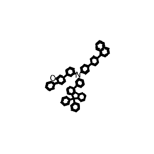 c1ccc(C2(c3ccccc3)c3ccccc3-c3c(-c4cccc(N(c5ccc(-c6ccc(-c7cccc8ccccc78)cc6)cc5)c5cccc(-c6ccc7c(c6)oc6ccccc67)c5)c4)cccc32)cc1